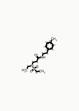 CCN(CCC(=O)N[CH]Cc1ccc(C)cc1)S(=O)(=O)CC